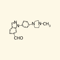 CN1CCN(c2ccc(-n3ncc4ccc(C=O)cc43)cc2)CC1